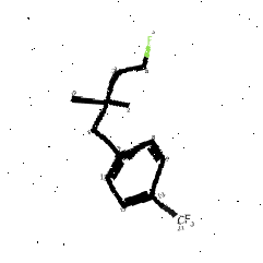 CC(C)(CCF)Cc1ccc(C(F)(F)F)cc1